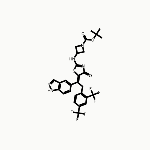 CC(C)(C)OC(=O)N1CC(NC2=NC(=O)C(=C(Cc3ccc(C(F)(F)F)cc3C(F)(F)F)c3ccc4[nH]ncc4c3)S2)C1